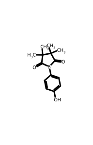 CC1(C)C(=O)B(c2ccc(O)cc2)C(=O)C1(C)C